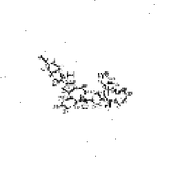 C#Cc1ccc(NC(=O)c2cc3c(s2)-c2ccccc2N(C(=O)c2ccc(NC(=O)c4cccnc4N4CC5(CCOCC5)C4)cc2)CC3)cc1